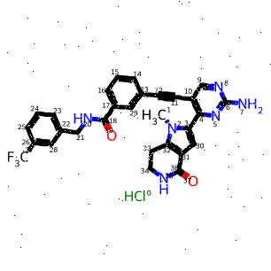 Cl.Cn1c(-c2nc(N)ncc2C#Cc2cccc(C(=O)NCc3cccc(C(F)(F)F)c3)c2)cc2c1CCNC2=O